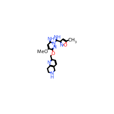 COc1cc(=N)n(C(=N)c2cc(C)on2)nc1OCc1ccc2c(n1)CCNC2